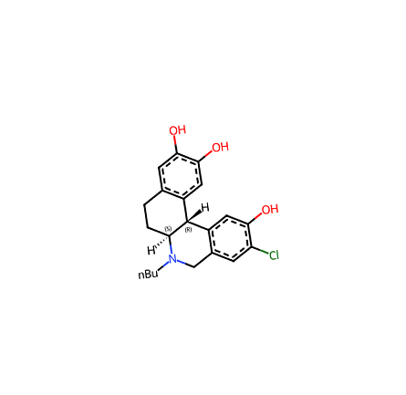 CCCCN1Cc2cc(Cl)c(O)cc2[C@H]2c3cc(O)c(O)cc3CC[C@@H]21